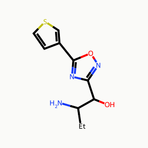 CCC(N)C(O)c1noc(-c2ccsc2)n1